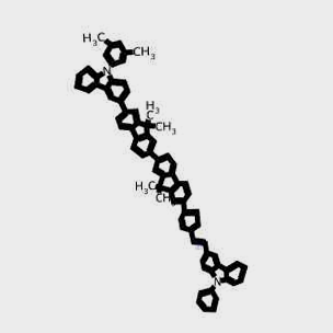 Cc1cc(C)cc(-n2c3ccccc3c3cc(-c4ccc5c(c4)C(C)(C)c4cc(-c6ccc7c(c6)C(C)(C)c6cc(-c8ccc(/C=C/c9ccc%10c(c9)c9ccccc9n%10-c9ccccc9)cc8)ccc6-7)ccc4-5)ccc32)c1